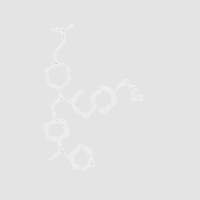 CN(C)CCN1CCC(N(Cc2ccc(N(C)c3ccncc3)cc2)C(=O)C=Cc2ccc(C(F)(F)F)cc2)CC1.O=CO